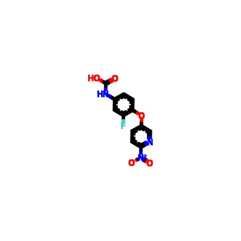 O=C(O)Nc1ccc(Oc2ccc([N+](=O)[O-])nc2)c(F)c1